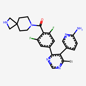 CCc1ncnc(-c2cc(F)c(C(=O)N3CCC4(CC3)CNC4)c(F)c2)c1-c1ccc(N)nc1